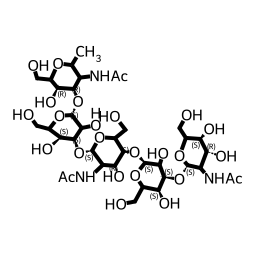 CC(=O)NC1[C@H](O[C@@H]2C(O)[C@H](O[C@@H]3C(CO)O[C@@H](O[C@@H]4C(O)[C@@H](O[C@@H]5C(NC(C)=O)C(C)OC(CO)[C@@H]5O)OC(CO)[C@@H]4O)C(NC(C)=O)[C@H]3O)OC(CO)[C@@H]2O)OC(CO)[C@@H](O)[C@@H]1O